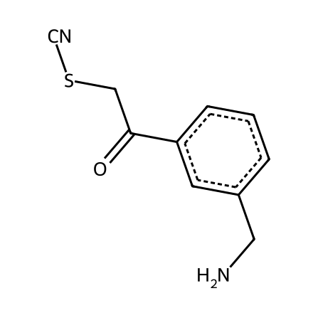 N#CSCC(=O)c1cccc(CN)c1